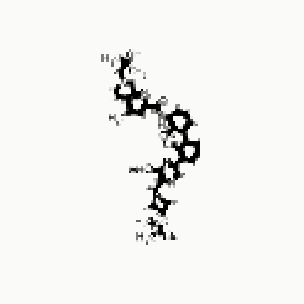 COc1nc(-c2cccc(-c3cccc(NC(=O)c4cc(C)c5c(n4)CN(CC(C)(C)O)CC5)c3Cl)c2Cl)cnc1CN1CC(O[Si](C)(C)C(C)(C)C)C1